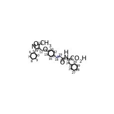 Cc1onc(-c2ccccc2)c1COc1ccc(/C=C/C(=O)NC(Cc2ccccc2)C(=O)O)cc1